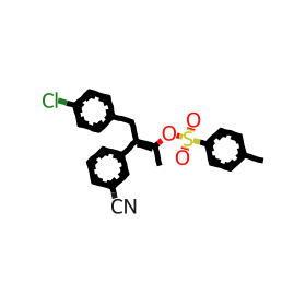 C/C(OS(=O)(=O)c1ccc(C)cc1)=C(/Cc1ccc(Cl)cc1)c1cccc(C#N)c1